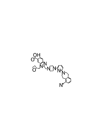 N#Cc1cccc2c1CCN(c1cccc(N3CCN(Cc4nc5ccc(C(=O)O)cc5n4C[C@@H]4CCO4)CC3)n1)CC2